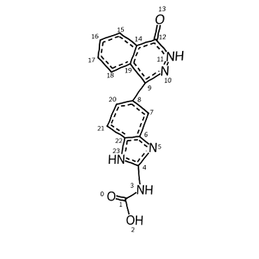 O=C(O)Nc1nc2cc(-c3n[nH]c(=O)c4ccccc34)ccc2[nH]1